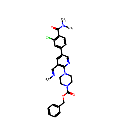 C/N=C/c1cc(-c2ccc(C(=O)N(C)C)c(Cl)c2)cnc1N1CCN(C(=O)OCc2ccccc2)CC1